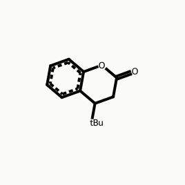 CC(C)(C)C1CC(=O)Oc2ccccc21